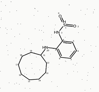 O=[SH](=O)Nc1ccccc1NC1CCCCCCCC1